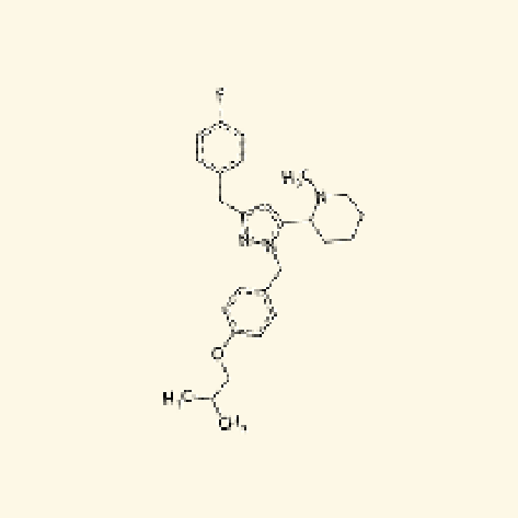 CC(C)COc1ccc(Cn2nc(Cc3ccc(F)cc3)cc2C2CCCCN2C)cc1